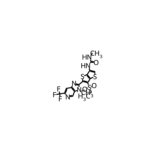 CCS(=O)(=O)c1c(-c2nc3cc(C(F)(F)F)ncc3n2C)sc2c(NC(=O)NC)csc12